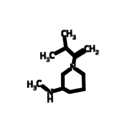 C=C(C(C)C)N1CCCC(NC)C1